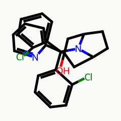 OC1(c2ccccn2)CC2CCC(C1)N2C(c1ccccc1Cl)c1ccccc1Cl